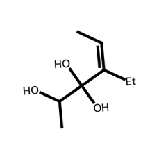 CC=C(CC)C(O)(O)C(C)O